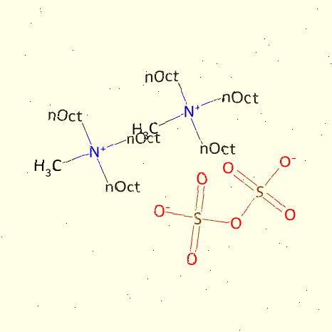 CCCCCCCC[N+](C)(CCCCCCCC)CCCCCCCC.CCCCCCCC[N+](C)(CCCCCCCC)CCCCCCCC.O=S(=O)([O-])OS(=O)(=O)[O-]